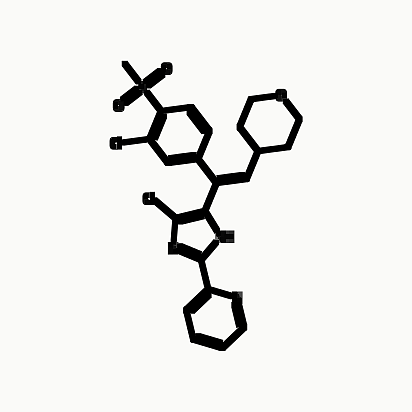 CS(=O)(=O)c1ccc(/C(=C\C2CCOCC2)c2[nH]c(-c3ccccn3)nc2Cl)cc1Cl